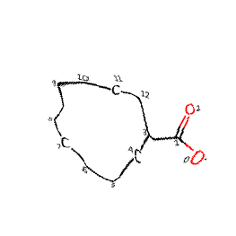 [O]C(=O)C1CCCCCCCCC1